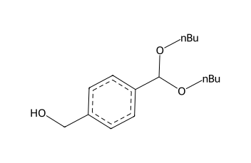 CCCCOC(OCCCC)c1ccc(CO)cc1